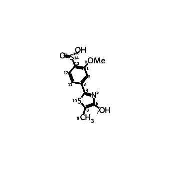 COc1cc(-c2nc(O)c(C)s2)ccc1S(=O)O